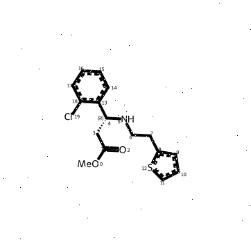 COC(=O)C[C@@H](NCCc1cccs1)c1ccccc1Cl